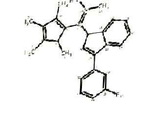 CC1=C(C)C(C)[C]([Zr]([CH]2C=C(c3cccc(F)c3)c3ccccc32)=[Si](C)C)=C1C